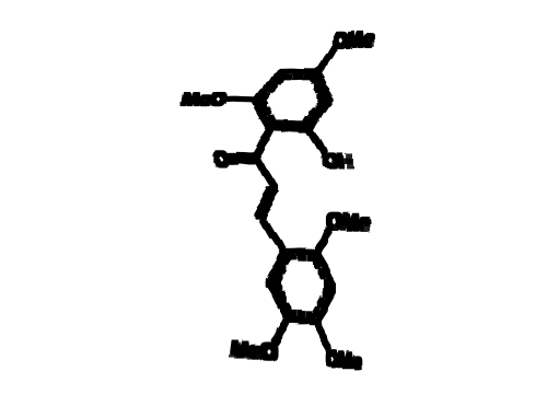 COc1cc(O)c(C(=O)/C=C/c2cc(OC)c(OC)cc2OC)c(OC)c1